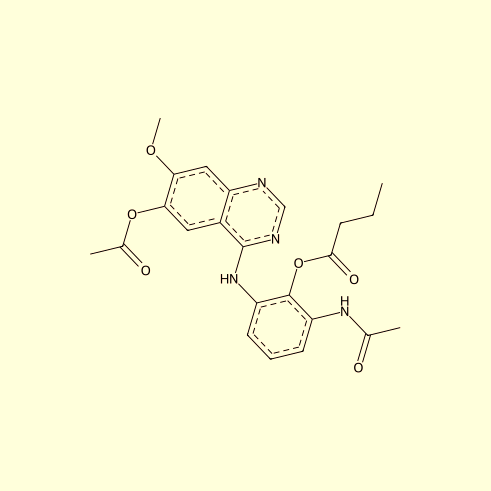 CCCC(=O)Oc1c(NC(C)=O)cccc1Nc1ncnc2cc(OC)c(OC(C)=O)cc12